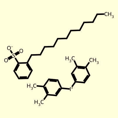 CCCCCCCCCCCCc1ccccc1S(=O)(=O)[O-].Cc1ccc([I+]c2ccc(C)c(C)c2)cc1C